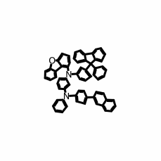 c1ccc(N(c2ccc(-c3ccc4ccccc4c3)cc2)c2cccc(N(c3cccc(C4(c5ccccc5)c5ccccc5-c5ccccc54)c3)c3cccc4oc5ccccc5c34)c2)cc1